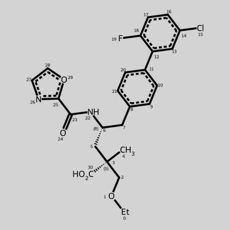 CCOC[C@](C)(C[C@@H](Cc1ccc(-c2cc(Cl)ccc2F)cc1)NC(=O)c1ncco1)C(=O)O